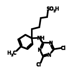 CC1=CCC(CCCCS(=O)(=O)O)(Nc2nc(Cl)nc(Cl)n2)C=C1